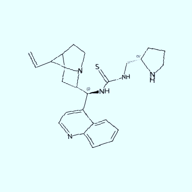 C=CC1C2CCN3C([C@@H](NC(=S)NC[C@@H]4CCCN4)c4ccnc5ccccc45)CC123